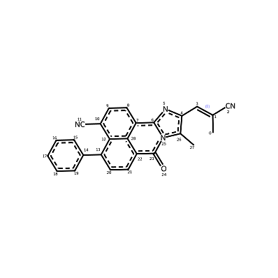 C/C(C#N)=C\c1nc2c3ccc(C#N)c4c(-c5ccccc5)ccc(c(=O)n2c1C)c43